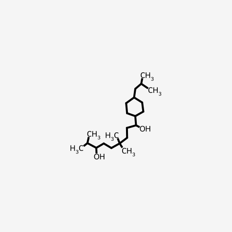 CC(C)CC1CCC(C(O)CCC(C)(C)CCC(O)C(C)C)CC1